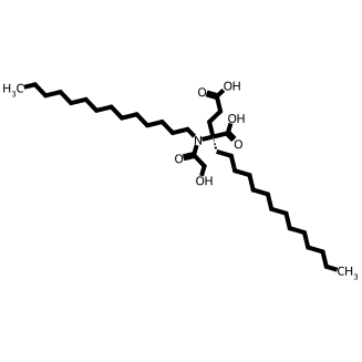 CCCCCCCCCCCCCCN(C(=O)CO)[C@@](CCCCCCCCCCCCCC)(CCC(=O)O)C(=O)O